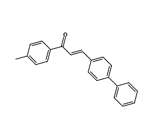 Cc1ccc(C(=O)C=Cc2ccc(-c3ccccc3)cc2)cc1